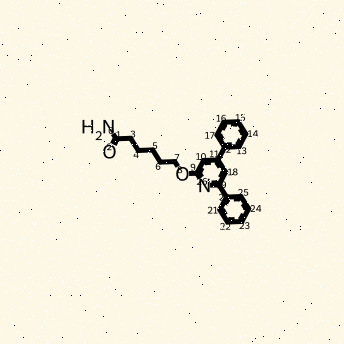 NC(=O)CCCCCOc1cc(-c2ccccc2)cc(-c2ccccc2)n1